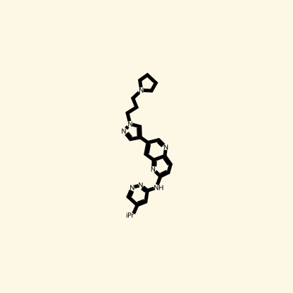 CC(C)c1cnnc(Nc2ccc3ncc(-c4cnn(CCCN5CCCC5)c4)cc3n2)c1